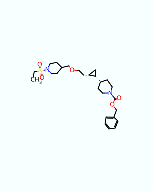 CCS(=O)(=O)N1CCC(COCC[C@@H]2C[C@@H]2C2CCN(C(=O)OCc3ccccc3)CC2)CC1